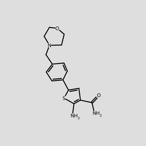 NC(=O)c1cc(-c2ccc(CN3CCOCC3)cc2)sc1N